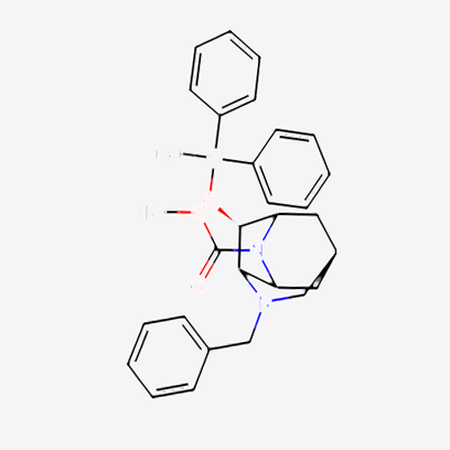 CC(C)(C)OC(=O)N1C2CC3CC1[C@H](O[Si](c1ccccc1)(c1ccccc1)C(C)(C)C)C2N(Cc1ccccc1)C3